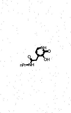 CCCNC(=O)Cc1cc[nH]c(=O)c1O